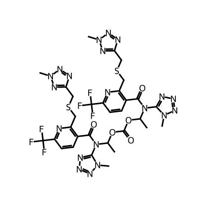 CC(OC(=O)OC(C)N(C(=O)c1ccc(C(F)(F)F)nc1CSCc1nnn(C)n1)c1nnnn1C)N(C(=O)c1ccc(C(F)(F)F)nc1CSCc1nnn(C)n1)c1nnnn1C